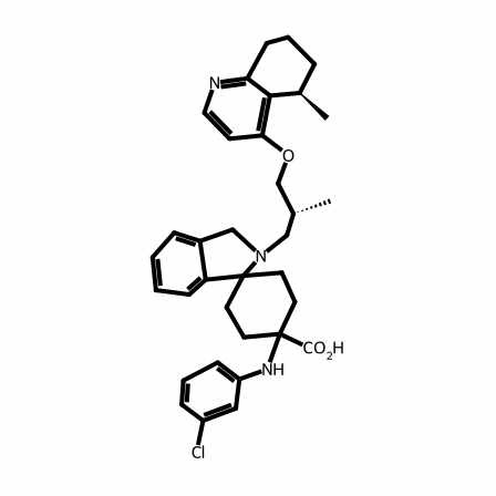 C[C@@H](COc1ccnc2c1[C@H](C)CCC2)CN1Cc2ccccc2C12CCC(Nc1cccc(Cl)c1)(C(=O)O)CC2